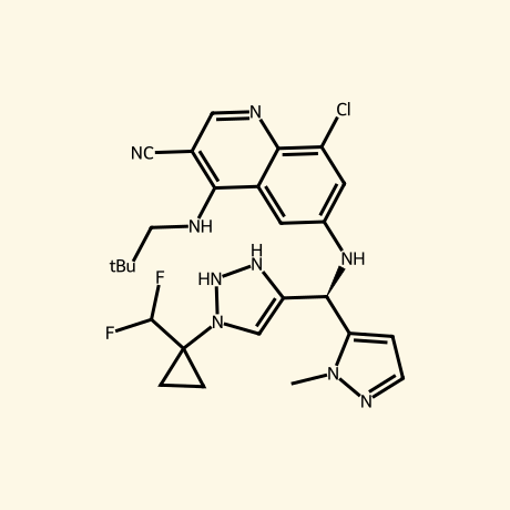 Cn1nccc1[C@H](Nc1cc(Cl)c2ncc(C#N)c(NCC(C)(C)C)c2c1)C1=CN(C2(C(F)F)CC2)NN1